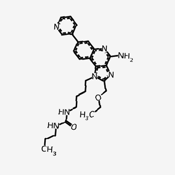 CCCNC(=O)NCCCCn1c(COCC)nc2c(N)nc3cc(-c4cccnc4)ccc3c21